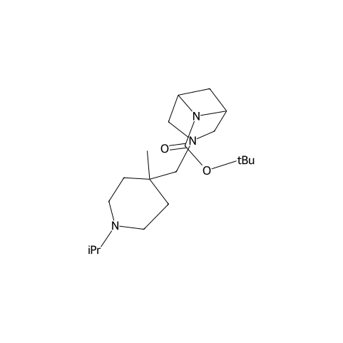 CC(C)N1CCC(C)(CN2CC3CC(C2)N3C(=O)OC(C)(C)C)CC1